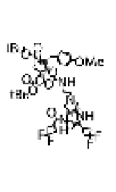 COc1ccc(C[C@@H]2[C@H](OC(=O)NCCN3C[C@@H](NC(=O)C4CC(F)(F)C4)[C@H](NC(=O)C4CC(F)(F)C4)C3)[C@@H](OC(=O)OC(C)(C)C)CN2C(=O)OC(C)(C)C)cc1